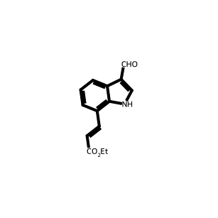 CCOC(=O)C=Cc1cccc2c(C=O)c[nH]c12